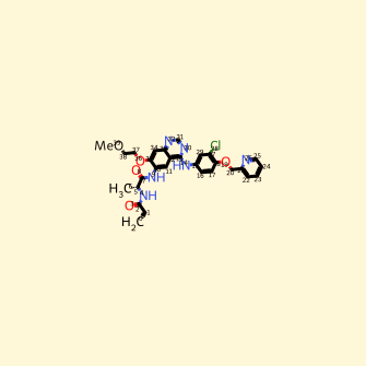 C=CC(=O)N[C@H](C)C(=O)Nc1cc2c(Nc3ccc(OCc4ccccn4)c(Cl)c3)ncnc2cc1OCCOC